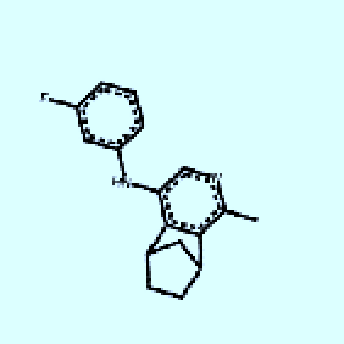 Cc1ncc(Nc2cccc(F)c2)c2c1C1CCC2C1